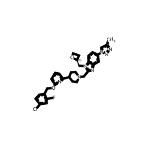 Cc1cn(-c2ccc3c(c2)nc(CN2CCC(c4cccc(OCc5ccc(Cl)cc5F)n4)CC2)n3C[C@@H]2CCO2)nn1